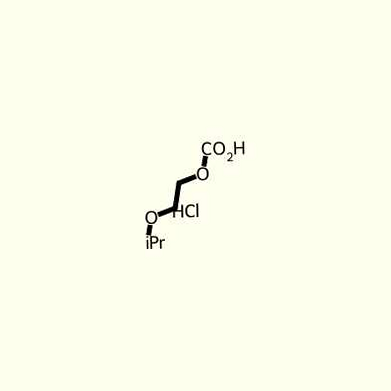 CC(C)OCCOC(=O)O.Cl